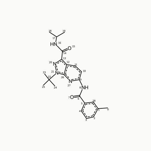 Cc1cccc(C(=O)Nc2ccc3c(C(=O)NC(C)C)nn(C(C)(C)C)c3n2)c1